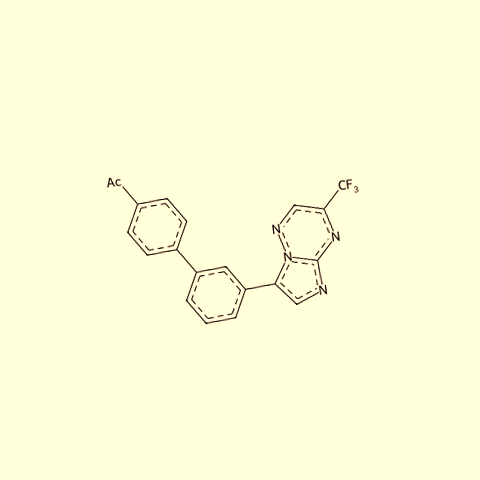 CC(=O)c1ccc(-c2cccc(-c3cnc4nc(C(F)(F)F)cnn34)c2)cc1